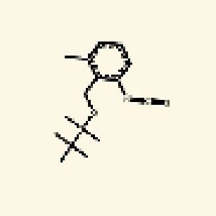 Cc1cccc(N=C=S)c1CO[Si](C)(C)C(C)(C)C